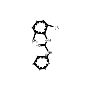 Cc1cccc(C)c1NC(=O)Nc1ccccn1